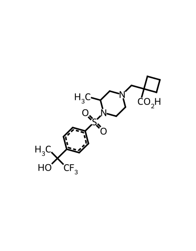 CC1CN(CC2(C(=O)O)CCC2)CCN1S(=O)(=O)c1ccc(C(C)(O)C(F)(F)F)cc1